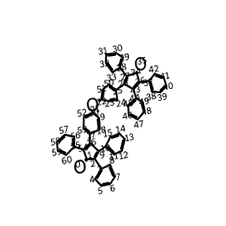 O=C1C(c2ccccc2)=C(c2ccccc2)C(c2ccc(Oc3ccc(C4=C(c5ccccc5)C(=O)C(c5ccccc5)=C4c4ccccc4)cc3)cc2)=C1c1ccccc1